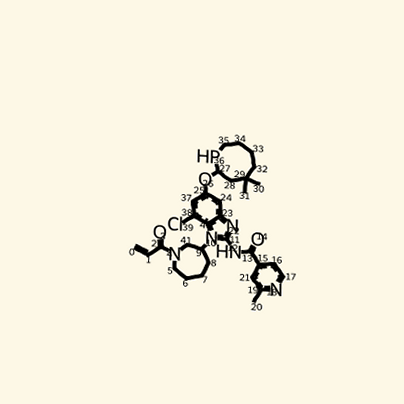 C=CC(=O)N1CCCCC(n2c(NC(=O)c3ccnc(C)c3)nc3cc(OC4CC(C)(C)CCCCP4)cc(Cl)c32)C1